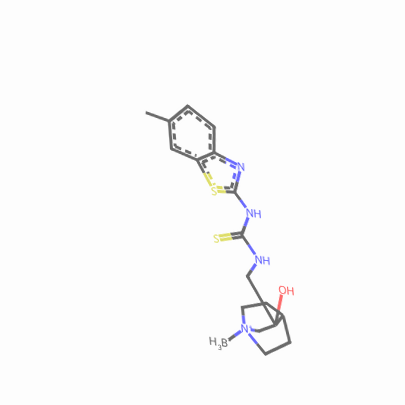 [BH3-][N+]12CCC(CC1)C(O)(CNC(=S)Nc1nc3ccc(C)cc3s1)C2